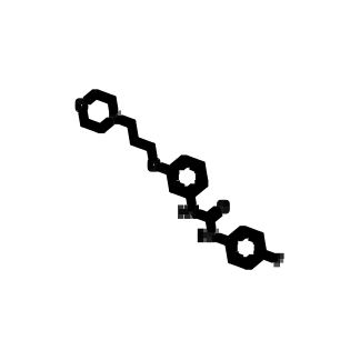 O=C(Nc1ccc(F)cc1)Nc1cccc(OCCCN2CCOCC2)c1